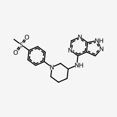 CS(=O)(=O)c1ccc(N2CCCC(Nc3ncnc4[nH]ncc34)C2)cc1